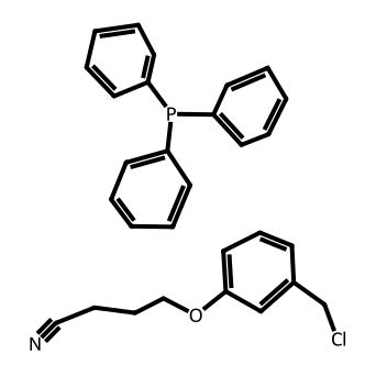 N#CCCCOc1cccc(CCl)c1.c1ccc(P(c2ccccc2)c2ccccc2)cc1